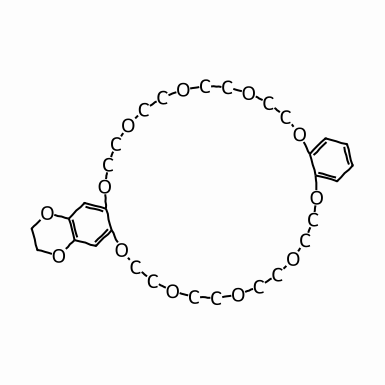 c1ccc2c(c1)OCCOCCOCCOCCOc1cc3c(cc1OCCOCCOCCOCCO2)OCCO3